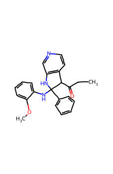 CCC(=O)C1c2ccncc2NC1(Nc1ccccc1OC)c1ccccc1